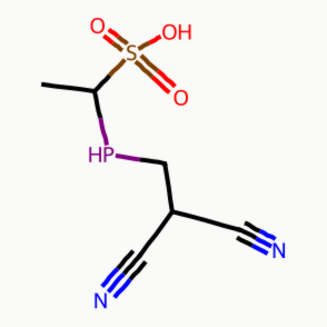 CC(PCC(C#N)C#N)S(=O)(=O)O